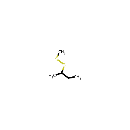 CCC(C)SSC